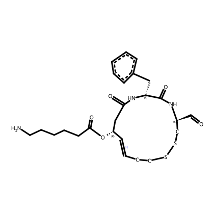 NCCCCCC(=O)O[C@H]1/C=C/CCSSC[C@H](C=O)NC(=O)[C@@H](Cc2ccccc2)NC(=O)C1